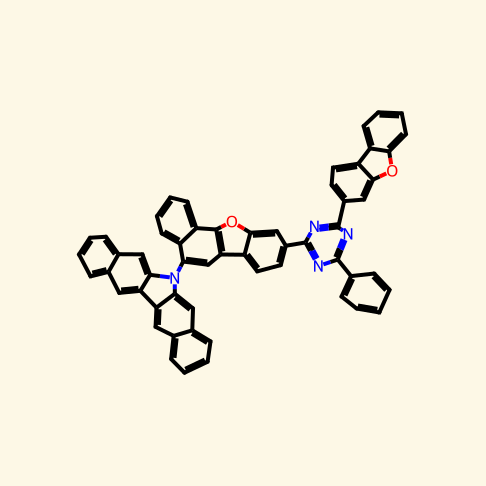 c1ccc(-c2nc(-c3ccc4c(c3)oc3ccccc34)nc(-c3ccc4c(c3)oc3c5ccccc5c(-n5c6cc7ccccc7cc6c6cc7ccccc7cc65)cc43)n2)cc1